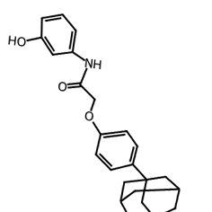 O=C(COc1ccc(C23CC4CC(CC(C4)C2)C3)cc1)Nc1cccc(O)c1